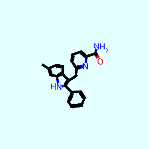 Cc1ccc2c(Cc3cccc(C(N)=O)n3)c(-c3ccccc3)[nH]c2c1